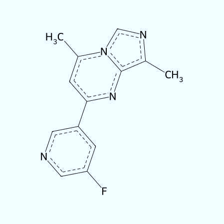 Cc1ncn2c(C)cc(-c3cncc(F)c3)nc12